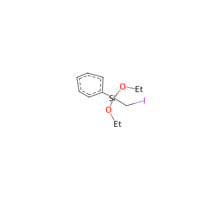 CCO[Si](CI)(OCC)c1ccccc1